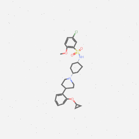 COc1ccc(Cl)cc1S(=O)(=O)N[C@H]1CC[C@@H](N2CCC(c3ccccc3OC3CC3)CC2)CC1